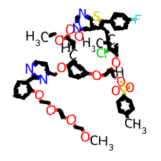 CCOC(=O)[C@H]1Cc2cc(ccc2OCc2ccnc(-c3ccccc3OCCOCCOCCOC)n2)OC[C@@H](COS(=O)(=O)c2ccc(C)cc2)Oc2ccc(c(C)c2Cl)-c2c(-c3ccc(F)cc3)sc3ncnc(c23)O1